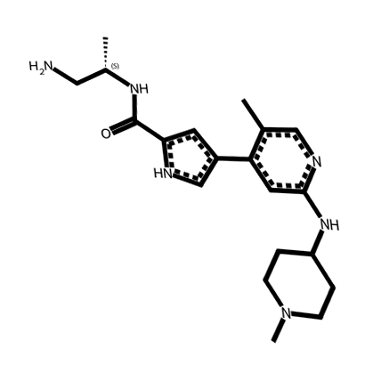 Cc1cnc(NC2CCN(C)CC2)cc1-c1c[nH]c(C(=O)N[C@@H](C)CN)c1